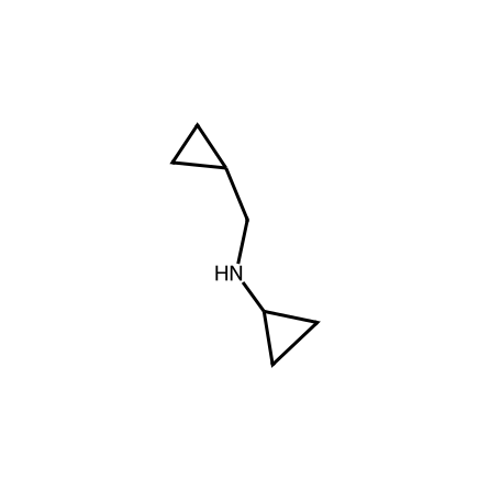 C1CC1CNC1CC1